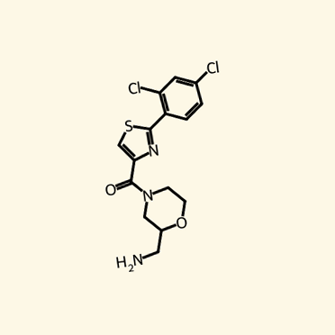 NCC1CN(C(=O)c2csc(-c3ccc(Cl)cc3Cl)n2)CCO1